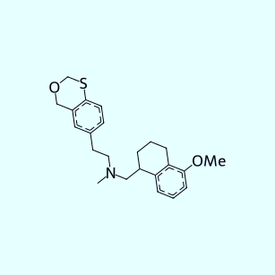 COc1cccc2c1CCCC2CN(C)CCc1ccc2c(c1)COCS2